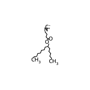 [C-]#[N+]CCCC(=O)OCC(CCCCCC)CCCCCCCC